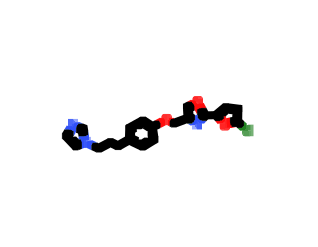 Clc1ccc(-c2nc(COc3ccc(CCCn4ccnc4)cc3)co2)o1